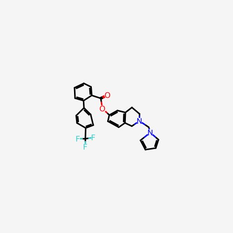 O=C(Oc1ccc2c(c1)CCN(Cn1cccc1)C2)c1ccccc1-c1ccc(C(F)(F)F)cc1